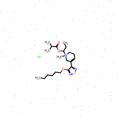 CCCCCCOc1nsnc1C1=CCC[N+](C)(C(CC)OC(=O)C(C)C)C1.[Cl-]